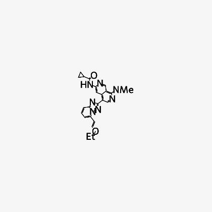 CCOC=Cc1cccc2nc(-c3cnc(NC)c4cnc(NC(=O)C5CC5)cc34)nn12